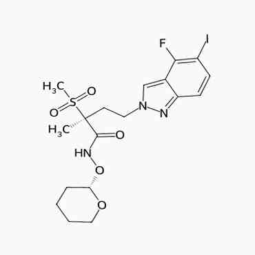 C[C@](CCn1cc2c(F)c(I)ccc2n1)(C(=O)NO[C@H]1CCCCO1)S(C)(=O)=O